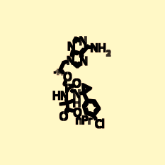 CCCOC(=O)C(C)(C)NP(=O)(CO[C@H](C)Cn1cnc2c(N)ncnc21)NC1(c2ccc(Cl)cc2)CC1